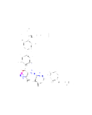 COc1cccc(-c2cccc(Nc3c(C)noc3-c3ccc(-c4ccc(C5(C(=O)O)CC5)cc4)cc3)n2)c1